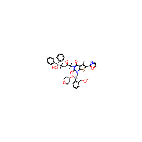 COCc1ccccc1[C@H](Cn1c(=O)n(C(C)(C)C(=O)CC(C)(C)[Si](O)(c2ccccc2)c2ccccc2)c(=O)c2c(C)c(-c3ncco3)sc21)OC1CCOCC1